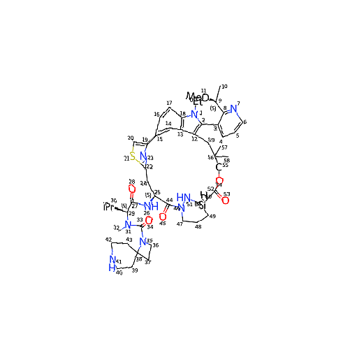 CCn1c(-c2cccnc2[C@H](C)OC)c2c3cc(ccc31)-c1csc(n1)C[C@H](NC(=O)[C@H](C(C)C)N(C)C(=O)N1CCC13CCNCC3)C(=O)N1CCC[Si@H](N1)C(=O)OCC(C)(C)C2